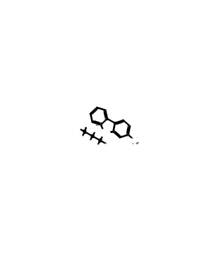 O=S(=O)([O-])c1ccc2c3ccccc3[s+](C(F)(F)C(F)(F)C(F)(F)C(F)(F)F)c2c1